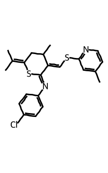 CC(C)=C1CC(C)C(=C\Sc2cc(C)ccn2)/C(=N/c2ccc(Cl)cc2)S1